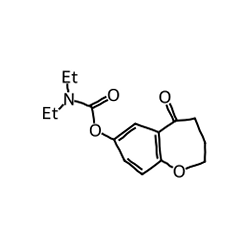 CCN(CC)C(=O)Oc1ccc2c(c1)C(=O)CCCO2